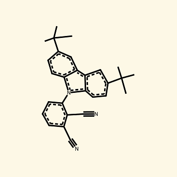 CC(C)(C)c1ccc2c(c1)c1cc(C(C)(C)C)ccc1n2-c1cccc(C#N)c1C#N